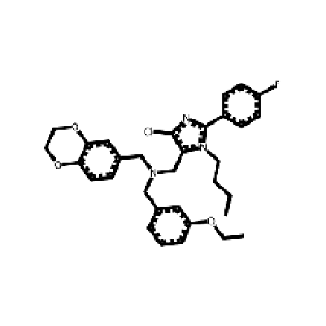 CCCCn1c(-c2ccc(F)cc2)nc(Cl)c1CN(Cc1cccc(OCC)c1)Cc1ccc2c(c1)OCCO2